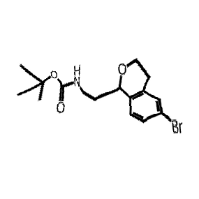 CC(C)(C)OC(=O)NCC1OCCc2cc(Br)ccc21